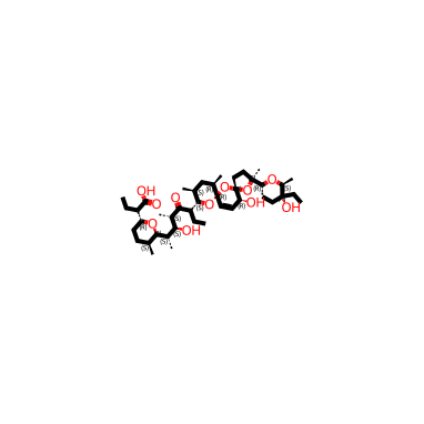 CCC(C(=O)[C@@H](C)[C@@H](O)[C@H](C)[C@@H]1O[C@@H](C(CC)C(=O)O)CC[C@@H]1C)[C@H]1O[C@]2(C=C[C@@H](O)[C@]3(CC[C@@](C)([C@H]4CC[C@](O)(CC)[C@H](C)O4)O3)O2)[C@H](C)C[C@@H]1C